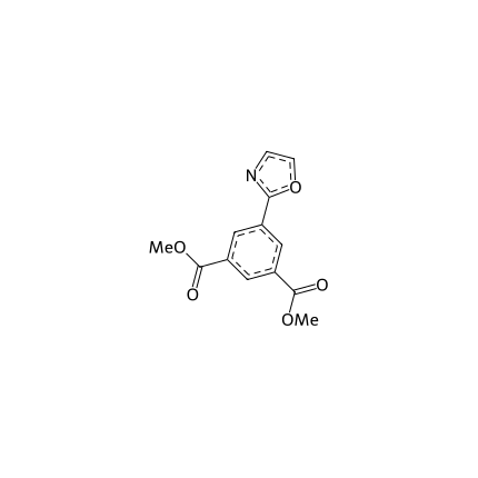 COC(=O)c1cc(C(=O)OC)cc(-c2ncco2)c1